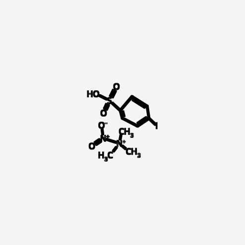 C[N+](C)(C)[N+](=O)[O-].O=S(=O)(O)c1ccc(I)cc1